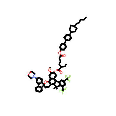 CCCCCC1CCC(c2ccc(-c3ccc(OC(=O)CCCC(CC)C(=O)Oc4cc5c6c(c7c(c5cc4OC)OC(c4ccccc4)(c4ccc(N5CCOCC5)cc4)C=C7)C(C)(C)c4c-6cc(C(F)(F)F)cc4C(F)(F)F)cc3)cc2)CC1